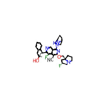 N#Cc1c(OC[C@@]23CCCN2C[C@H](F)C3)nc(N2CC3CCC(C2)N3)c2cnc(-c3cc(O)cc4ccccc34)c(F)c12